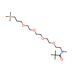 CN(CCOCCOCCOCCOCCCS(C)(C)C)C(=O)C(C)(C)C